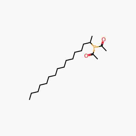 CCCCCCCCCCCCCCC(C)P(C(C)=O)C(C)=O